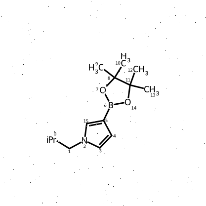 CC(C)Cn1ccc(B2OC(C)(C)C(C)(C)O2)c1